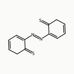 S=C1CC=CC=C1N=NC1=CC=CCC1=S